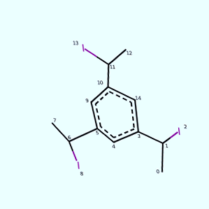 CC(I)c1cc(C(C)I)cc(C(C)I)c1